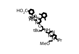 COCCn1c(C(C)C)cc2ncc(CNC(COc3cc(-c4c(C)cccc4C)nc(NS(=O)(=O)c4cccc(C(=O)O)c4)n3)CC(C)(C)C)nc21